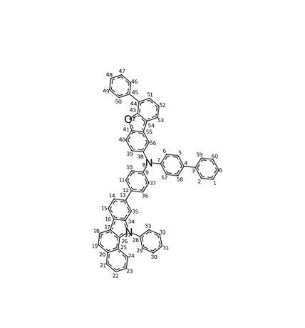 c1ccc(-c2ccc(N(c3ccc(-c4ccc5c6ccc7ccccc7c6n(-c6ccccc6)c5c4)cc3)c3ccc4oc5c(-c6ccccc6)cccc5c4c3)cc2)cc1